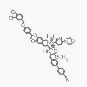 COC(=O)C(Cc1ccc(-c2ccc(C#N)cc2)cc1)NC(=O)C1Cc2cc3c(cc2CN1S(=O)(=O)c1ccc(N2CCOCC2)nc1C)OC(c1ccc(OCc2ccc(Cl)c(Cl)c2)cc1)CO3